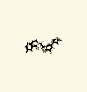 Cc1cnc2ccn([C@H](C)c3nnc4c(F)cc(-c5cnn(C)c5)cn34)c(=O)c2c1